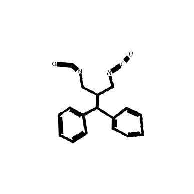 O=C=NCC(CN=C=O)C(c1ccccc1)c1ccccc1